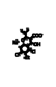 CCc1c(Cl)ccc(C(O)=C(C(=O)[O-])C(=O)N(C)C)c1Cl.[Na+]